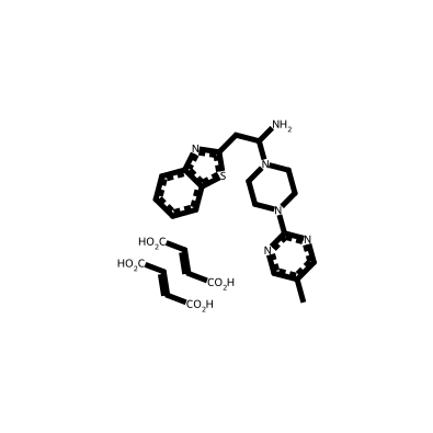 Cc1cnc(N2CCN(C(N)Cc3nc4ccccc4s3)CC2)nc1.O=C(O)C=CC(=O)O.O=C(O)C=CC(=O)O